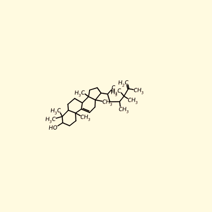 C=C(C)C(C)(C)C(C)CC(C)C1CCC2(C)C3CCC4C(C)(CCC(O)C4(C)C)C3=CCC12C